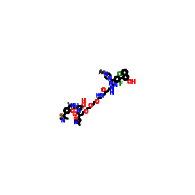 CC(=O)N1CCN(c2nc(NCCC(=O)CNCCOCCOCCOCCC(C(=O)N3C[C@H](O)C[C@H]3C(=O)N[C@@H](C)c3ccc(-c4scnc4C)cc3)c3cc(C)no3)nc3c(F)c(-c4cc(O)cc5ccccc45)c(Cl)cc23)CC1